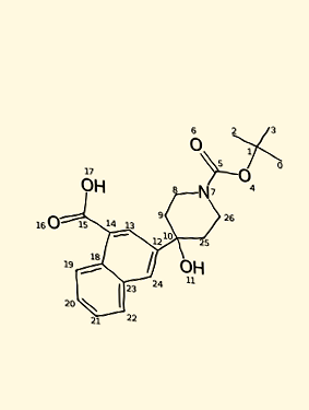 CC(C)(C)OC(=O)N1CCC(O)(c2cc(C(=O)O)c3ccccc3c2)CC1